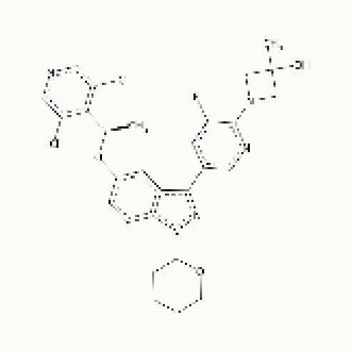 C[C@@H](Oc1ccc2c(c1)c(-c1cnc(N3CC(C)(O)C3)c(F)c1)nn2C1CCCCO1)c1c(Cl)cncc1Cl